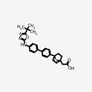 CC(C)(C)c1nnc(Nc2ccc(-c3ccc(C45CCC(CC(=O)O)(CC4)O5)cc3)cc2)o1